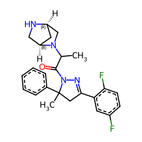 CC(C(=O)N1N=C(c2cc(F)ccc2F)CC1(C)c1ccccc1)N1C[C@H]2C[C@@H]1CN2